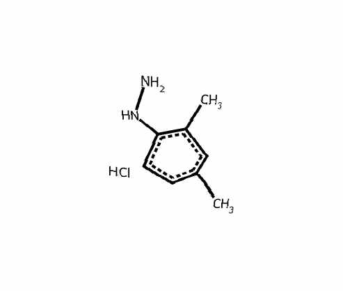 Cc1ccc(NN)c(C)c1.Cl